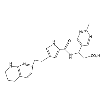 Cc1ncc(C(CC(=O)O)NC(=O)c2cc(CCc3ccc4c(n3)NCCC4)c[nH]2)cn1